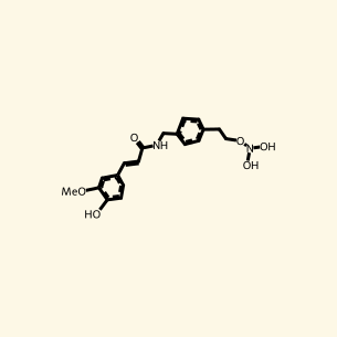 COc1cc(/C=C/C(=O)NCc2ccc(CCON(O)O)cc2)ccc1O